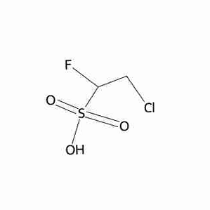 O=S(=O)(O)C(F)CCl